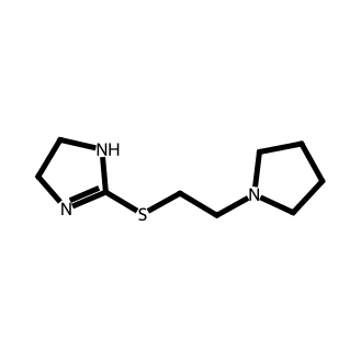 C1CCN(CCSC2=NCCN2)C1